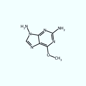 COc1nc(N)nc2c1ncn2N